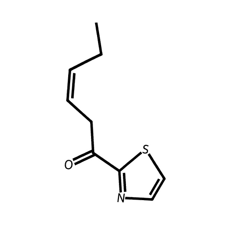 CC/C=C\CC(=O)c1nccs1